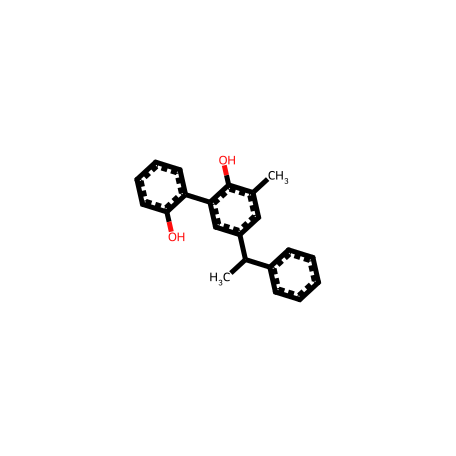 Cc1cc(C(C)c2ccccc2)cc(-c2ccccc2O)c1O